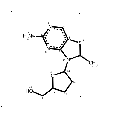 CC1Sc2cnc(N)nc2N1C1CCC(CO)O1